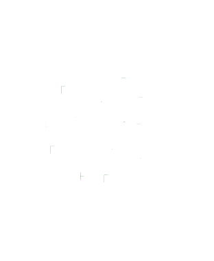 CC(C)(C)C1(F)C(F)(F)C(F)(F)C(F)(F)C1(F)F